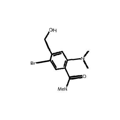 CNC(=O)c1cc(Br)c(CO)cc1N(C)C